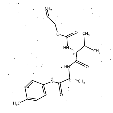 [CH2]c1ccc(NC(=O)[C@@H](C)NC(=O)[C@H](NC(=O)OCC=C)C(C)C)cc1